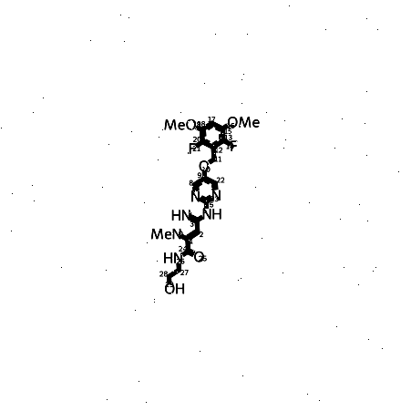 CN/C(=C\C(=N)Nc1ncc(OCc2c(F)c(OC)cc(OC)c2F)cn1)C(=O)NCCO